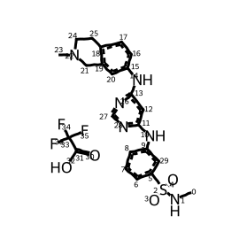 CNS(=O)(=O)c1cccc(Nc2cc(Nc3ccc4c(c3)CN(C)CC4)ncn2)c1.O=C(O)C(F)(F)F